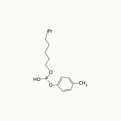 Cc1ccc(OP(O)OCCCCCC(C)C)cc1